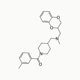 Cc1cccc(C(=O)N2CCC(CN(C)CC3COc4ccccc4O3)CC2)c1